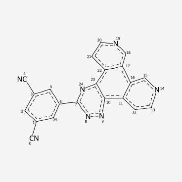 N#Cc1cc(C#N)cc(-c2nnc3c4ccncc4c4cnccc4c3n2)c1